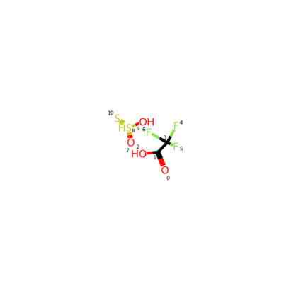 O=C(O)C(F)(F)F.O=[SH](O)=S